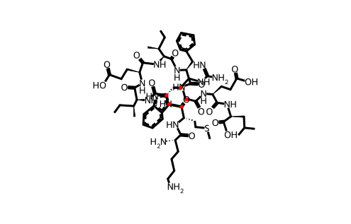 CC[C@H](C)[C@H](NC(=O)[C@H](CCC(=O)O)NC(=O)[C@@H](NC(=O)[C@H](CCCNC(=N)N)NC(=O)[C@H](CCSC)NC(=O)[C@@H](N)CCCCN)[C@@H](C)CC)C(=O)N[C@@H](Cc1ccccc1)C(=O)N[C@@H](Cc1c[nH]c2ccccc12)C(=O)N[C@@H](CCC(=O)O)C(=O)N[C@@H](CC(C)C)C(=O)O